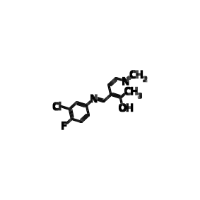 C=N\C=C/C(/C=N/c1ccc(F)c(Cl)c1)=C(\C)O